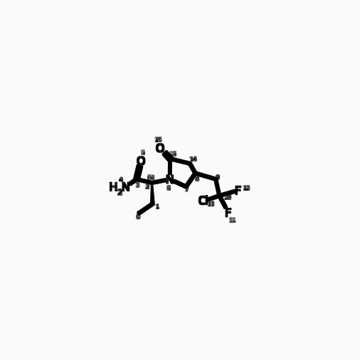 CC[C@@H](C(N)=O)N1CC(CC(F)(F)Cl)CC1=O